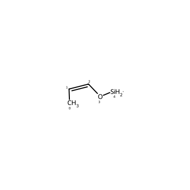 C/C=C\O[SiH2]